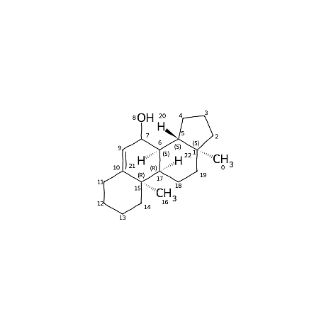 C[C@@]12CCC[C@H]1[C@@H]1C(O)C=C3CCCC[C@]3(C)[C@@H]1CC2